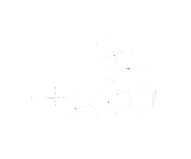 CC(C)(C)OC(=O)N1CC2(Cc3ccccc3[C@H]2N[S@+]([O-])C(C)(C)C)C1